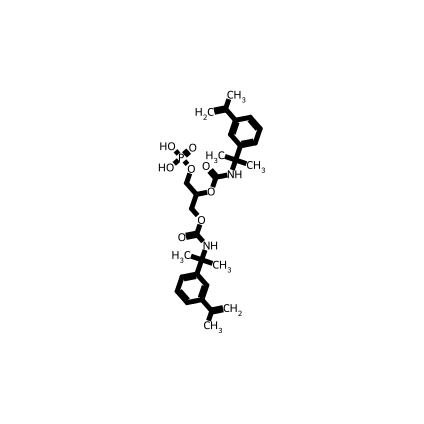 C=C(C)c1cccc(C(C)(C)NC(=O)OCC(COP(=O)(O)O)OC(=O)NC(C)(C)c2cccc(C(=C)C)c2)c1